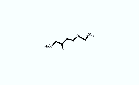 CCCCCCCCC(F)CCOCS(=O)(=O)O